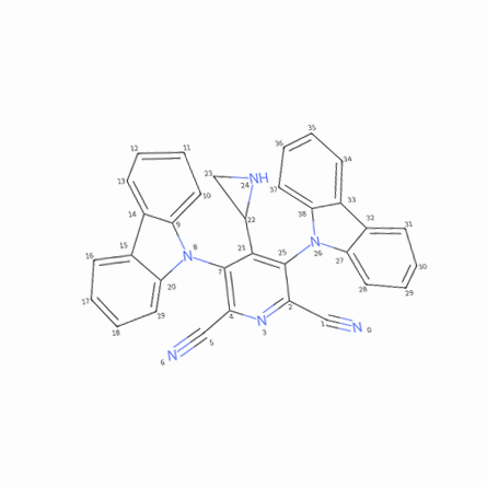 N#Cc1nc(C#N)c(-n2c3ccccc3c3ccccc32)c(C2CN2)c1-n1c2ccccc2c2ccccc21